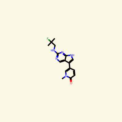 Cn1cc(-c2c[nH]c3nc(NCC(C)(C)F)ncc23)ccc1=O